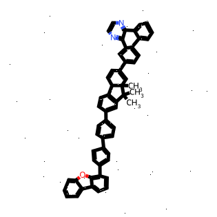 CC1(C)c2cc(-c3ccc(-c4ccc(-c5cccc6c5oc5ccccc56)cc4)cc3)ccc2C2C=CC(c3ccc4c5ccccc5c5nccnc5c4c3)=CC21C